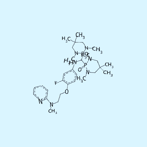 CN(CCOc1ccc(NC(P2(=O)N(C)CC(C)(C)CN2C)P2(=O)N(C)CC(C)(C)CN2C)cc1F)c1ccccn1